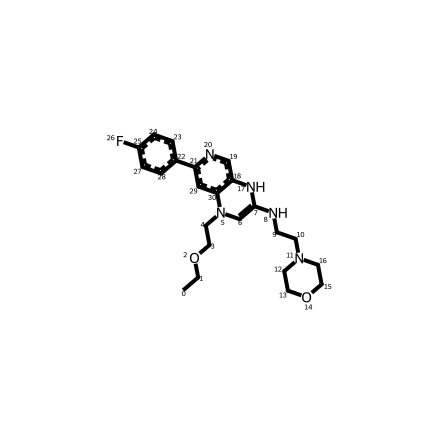 CCOCCN1C=C(NCCN2CCOCC2)Nc2cnc(-c3ccc(F)cc3)cc21